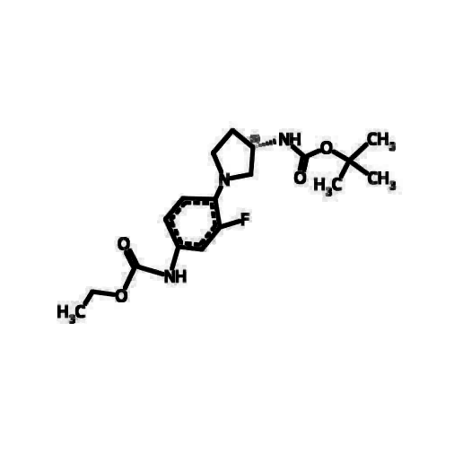 CCOC(=O)Nc1ccc(N2CC[C@H](NC(=O)OC(C)(C)C)C2)c(F)c1